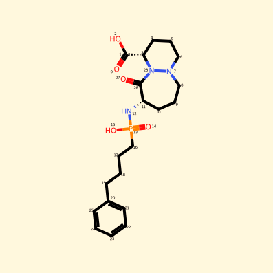 O=C(O)[C@@H]1CCCN2CCC[C@H](NP(=O)(O)CCCCc3ccccc3)C(=O)N12